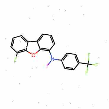 Fc1cccc2c1oc1c(N(I)c3ccc(C(F)(F)F)cc3)cccc12